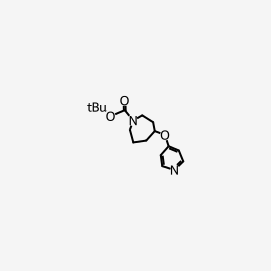 CC(C)(C)OC(=O)N1CCCC(Oc2ccncc2)CC1